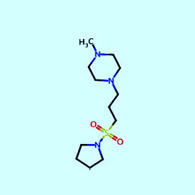 CN1CCN(CCCS(=O)(=O)N2C[CH]CC2)CC1